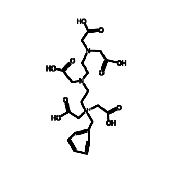 O=C(O)CN(CCN(CC(=O)O)CC(=O)O)CC[N+](CC(=O)O)(CC(=O)O)Cc1ccccc1